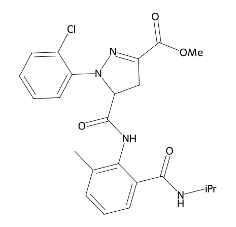 COC(=O)C1=NN(c2ccccc2Cl)C(C(=O)Nc2c(C)cccc2C(=O)NC(C)C)C1